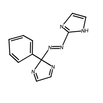 C1=NC(N=Nc2ncc[nH]2)(c2ccccc2)N=C1